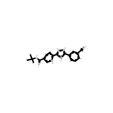 CC(C)(C)OC(=O)c1ccc(-c2noc(-c3cccc(C#N)c3)n2)nc1